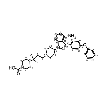 CC(C)(CCN1CCC(n2nc(-c3ccc(Oc4ccccc4)cc3)c3c(N)ncnc32)CC1)C1CCN(C(=O)O)CC1